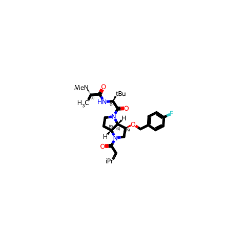 CN[C@@H](C)C(=O)N[C@H](C(=O)N1CC[C@@H]2[C@H]1[C@@H](OCc1ccc(F)cc1)CN2C(=O)CC(C)C)C(C)(C)C